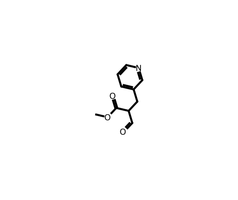 COC(=O)C(C=O)Cc1cccnc1